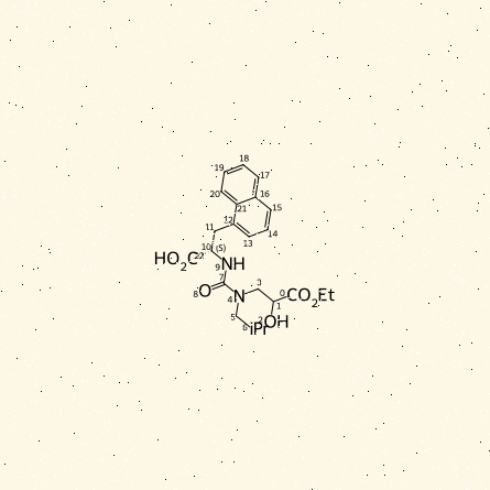 CCOC(=O)C(O)CN(CC(C)C)C(=O)N[C@@H](Cc1cccc2ccccc12)C(=O)O